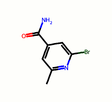 Cc1cc(C(N)=O)cc(Br)n1